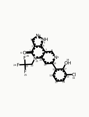 O=c1c2cn[nH]c2c2cnc(-c3cccc(Cl)c3O)cc2n1CC(F)(F)F